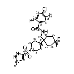 Cn1cc(S(=O)(=O)N2CCN(C3(CNC(=O)c4cc(F)c(Cl)cc4F)CCC(F)(F)CC3)CC2)nn1